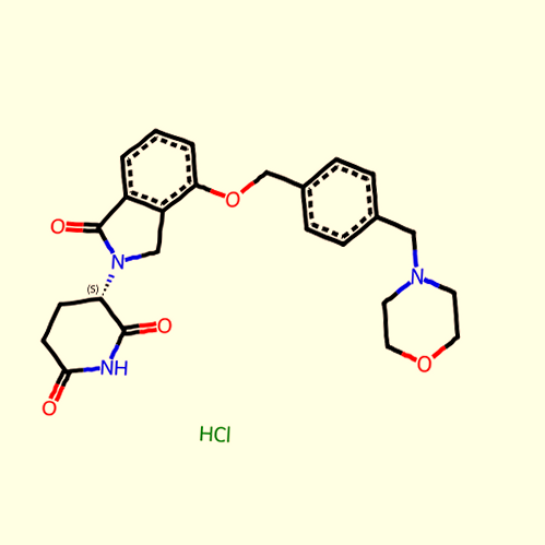 Cl.O=C1CC[C@H](N2Cc3c(OCc4ccc(CN5CCOCC5)cc4)cccc3C2=O)C(=O)N1